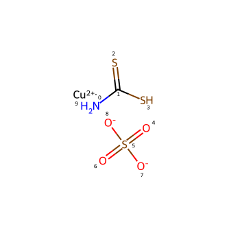 NC(=S)S.O=S(=O)([O-])[O-].[Cu+2]